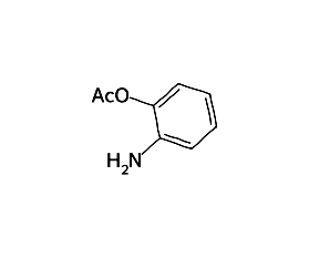 CC(=O)Oc1ccccc1N